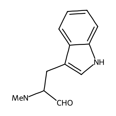 CNC(C=O)Cc1c[nH]c2ccccc12